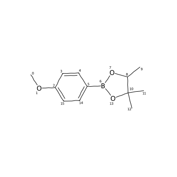 COc1ccc(B2OC(C)C(C)(C)O2)cc1